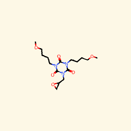 COCCCCn1c(=O)n(CCCCOC)c(=O)n(CC2CO2)c1=O